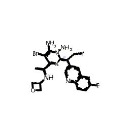 CC(NC1COC1)C1=N/C(=C(/CI)c2cnc3ccc(F)cc3c2)N(N)C(N)=C1Br